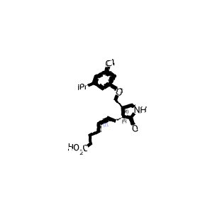 CC(C)c1cc(Cl)cc(OC[C@H]2CNC(=O)[C@@H]2C/C=C\CCCC(=O)O)c1